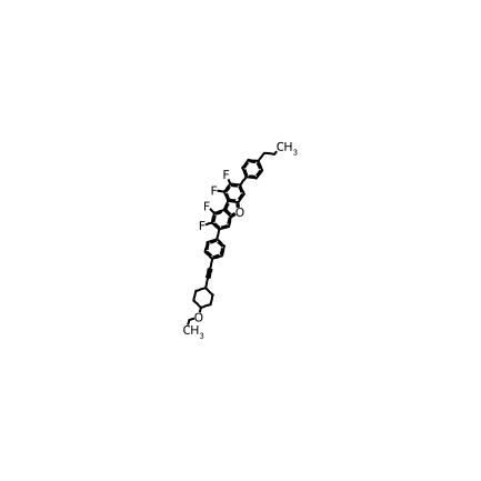 CCCc1ccc(-c2cc3oc4cc(-c5ccc(C#CC6CCC(OCC)CC6)cc5)c(F)c(F)c4c3c(F)c2F)cc1